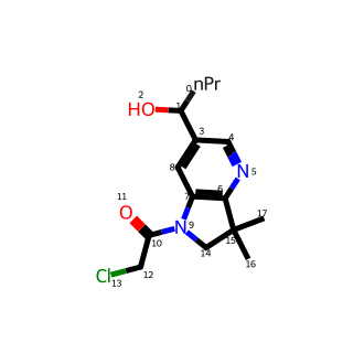 CCCC(O)c1cnc2c(c1)N(C(=O)CCl)CC2(C)C